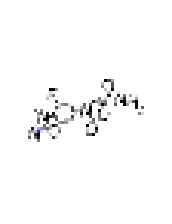 C/N=c1/oc2cc(N3C[C@H](C(N)=O)OC3=O)cc(F)c2n1C